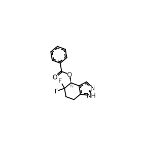 O=C(O[C@H]1c2cn[nH]c2CCC1(F)F)c1ccccc1